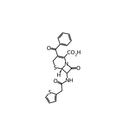 O=C(Cc1cccs1)NC1C(=O)N2C(C(=O)O)=C(C(=O)c3ccccc3)CS[C@@H]12